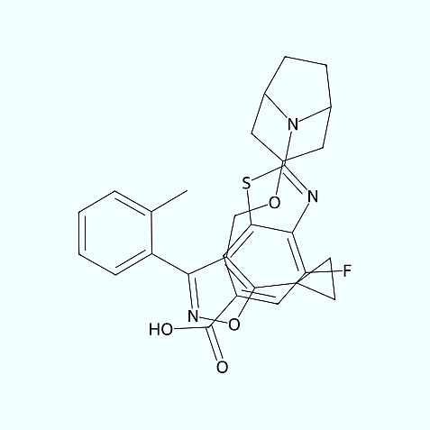 Cc1ccccc1-c1noc(C2CC2)c1COC1CC2CCC(C1)N2c1nc2c(F)cc(C(=O)O)cc2s1